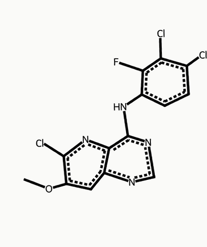 COc1cc2ncnc(Nc3ccc(Cl)c(Cl)c3F)c2nc1Cl